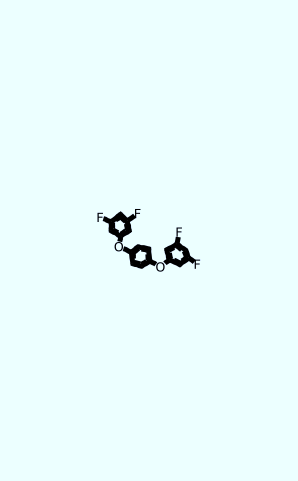 Fc1cc(F)cc(Oc2ccc(Oc3cc(F)cc(F)c3)cc2)c1